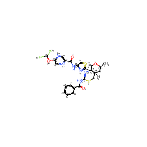 C[C@H]1C[C@H]2CSC(NC(=O)c3ccccc3)=N[C@@]2(c2nc(NC(=O)c3cnc(OC(F)F)cn3)cs2)CO1